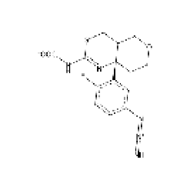 N=[N+]=Nc1ccc(F)c([C@]23CCOCC2CSC(NC(=O)[O-])=N3)c1